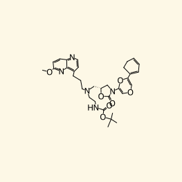 COc1ccc2nccc(CCCN(CCNC(=O)OC(C)(C)C)C[C@@H]3CN(C4=COC=C(C5=CC=CCC5)O4)C(=O)O3)c2n1